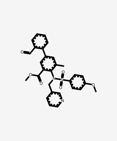 COC(=O)c1cc(-c2ccccc2C=O)cc(C)c1N(Cc1cccnc1)S(=O)(=O)c1ccc(OC)cc1